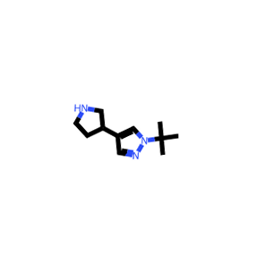 CC(C)(C)n1cc(C2CCNC2)cn1